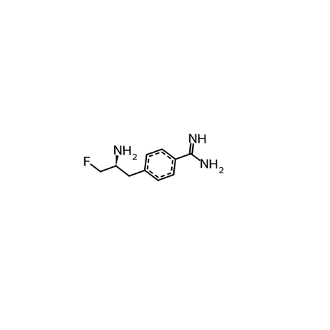 N=C(N)c1ccc(C[C@H](N)CF)cc1